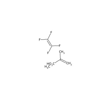 C.C=C(C)C(=O)O.FC(F)=C(F)F